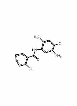 Cc1cc(Cl)c(N)cc1NC(=O)c1ccccc1Cl